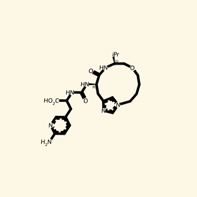 CC(C)[C@H]1COCCCCn2cnc(c2)C[C@@H](NC(=O)NC(Cc2ccc(N)nc2)C(=O)O)C(=O)N1